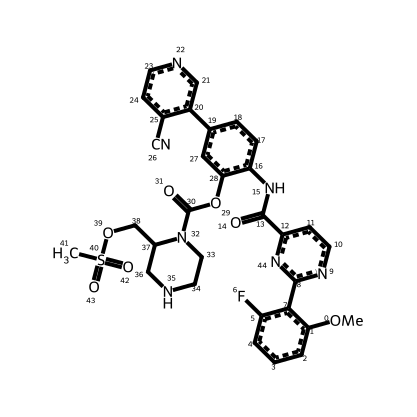 COc1cccc(F)c1-c1nccc(C(=O)Nc2ccc(-c3cnccc3C#N)cc2OC(=O)N2CCNCC2COS(C)(=O)=O)n1